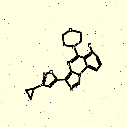 Fc1cccc2c1c(N1CCOCC1)nc1c(-c3cc(C4CC4)no3)ncn12